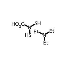 CCN(CC)CC.O=C(O)N(S)S